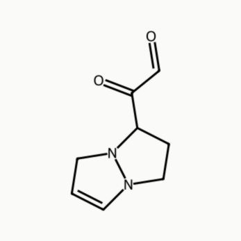 O=CC(=O)C1CCN2C=CCN12